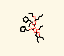 CCCCC(OCCC)(OCCC)OC(OCc1ccccc1)OC(OCc1ccccc1)OC(CCCC)(OCCC)OCCC